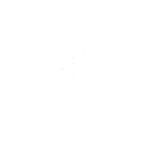 CCc1ccccc1N/N=C1\C(=O)Nc2ccc(SOOO)cc21